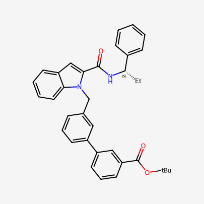 CC[C@H](NC(=O)c1cc2ccccc2n1Cc1cccc(-c2cccc(C(=O)OC(C)(C)C)c2)c1)c1ccccc1